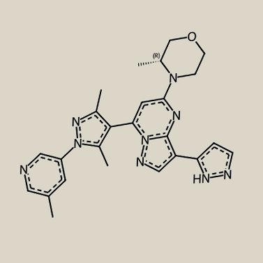 Cc1cncc(-n2nc(C)c(-c3cc(N4CCOC[C@H]4C)nc4c(-c5ccn[nH]5)cnn34)c2C)c1